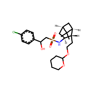 CC1(C)[C@H]2C[C@H](NS(=O)(=O)CC(O)c3ccc(Cl)cc3)[C@@H](CCOC3CCCCO3)[C@@H]1C2